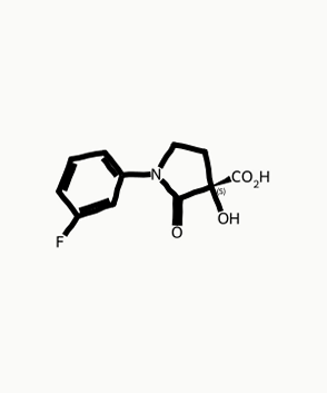 O=C(O)[C@]1(O)CCN(c2cccc(F)c2)C1=O